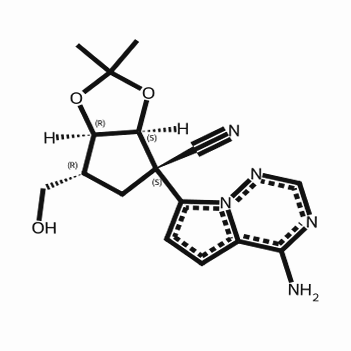 CC1(C)O[C@@H]2[C@@H](CO)C[C@@](C#N)(c3ccc4c(N)ncnn34)[C@@H]2O1